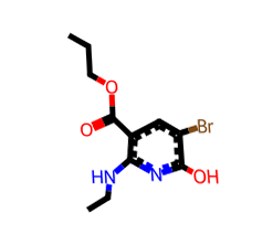 CCCOC(=O)c1cc(Br)c(O)nc1NCC